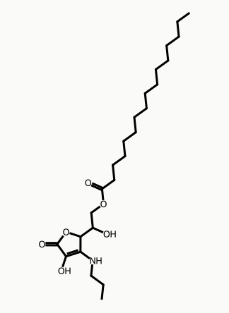 CCCCCCCCCCCCCCCC(=O)OCC(O)C1OC(=O)C(O)=C1NCCC